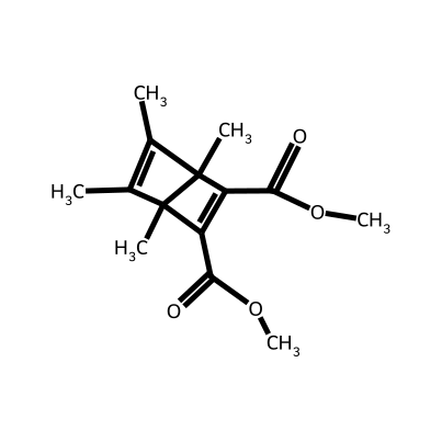 COC(=O)C1=C(C(=O)OC)C2(C)C(C)=C(C)C12C